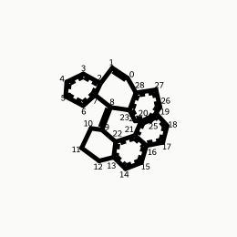 C1=Cc2ccccc2C(=C2CCCc3ccc4ccccc4c32)c2ccccc21